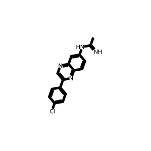 CC(=N)Nc1ccc2nc(-c3ccc(Cl)cc3)cnc2c1